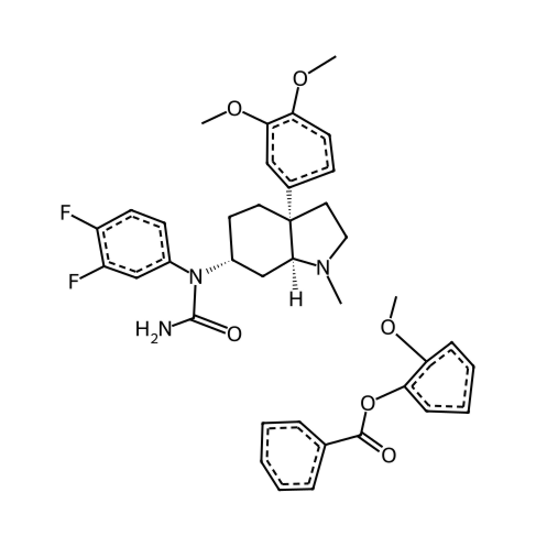 COc1ccc([C@@]23CC[C@@H](N(C(N)=O)c4ccc(F)c(F)c4)C[C@@H]2N(C)CC3)cc1OC.COc1ccccc1OC(=O)c1ccccc1